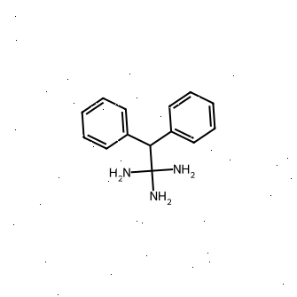 NC(N)(N)C(c1ccccc1)c1ccccc1